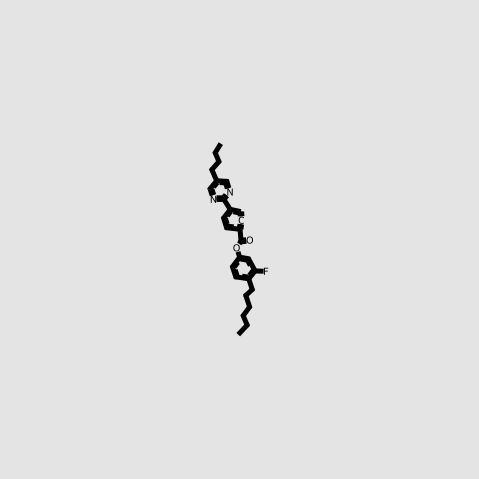 CCCCCCc1ccc(OC(=O)c2ccc(-c3ncc(CCCC)cn3)cc2)cc1F